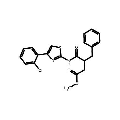 COC(=O)CC(Cc1ccccc1)C(=O)Nc1nc(-c2ccccc2Cl)cs1